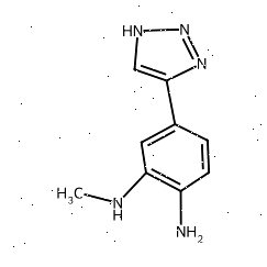 CNc1cc(-c2c[nH]nn2)ccc1N